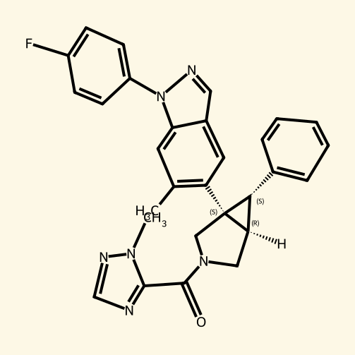 Cc1cc2c(cnn2-c2ccc(F)cc2)cc1[C@@]12CN(C(=O)c3ncnn3C)C[C@@H]1[C@H]2c1ccccc1